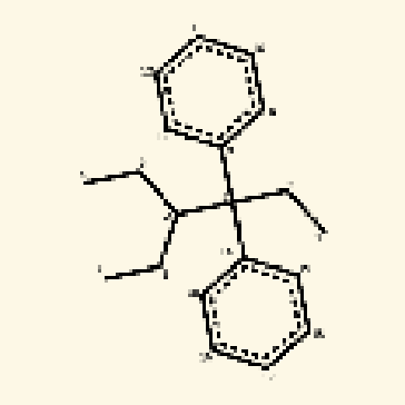 CCC(CC)C(CC)(c1ccccc1)c1ccccc1